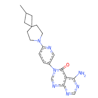 CC1CC2(CCN(c3ccc(-n4cnc5ncnc(N)c5c4=O)cn3)CC2)C1